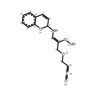 CCCOC(=CNC1C=Cc2ccccc2O1)COCC=C=O